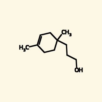 CC1=CCC(C)(CCCO)CC1